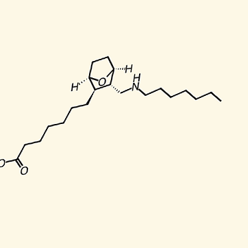 CCCCCCCNC[C@@H]1[C@@H](CCCCCCC(=O)O)[C@H]2CC[C@@H]1O2